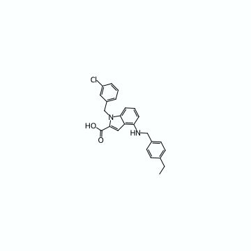 CCc1ccc(CNc2cccc3c2cc(C(=O)O)n3Cc2cccc(Cl)c2)cc1